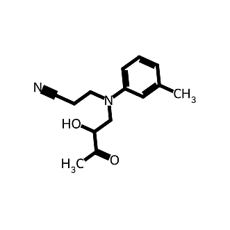 CC(=O)C(O)CN(CCC#N)c1cccc(C)c1